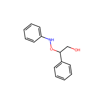 OCC(ONc1ccccc1)c1ccccc1